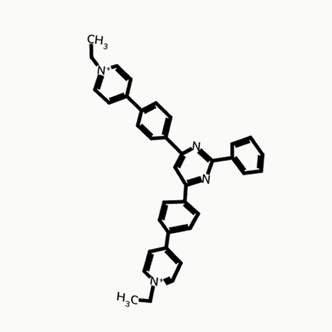 CC[n+]1ccc(-c2ccc(-c3cc(-c4ccc(-c5cc[n+](CC)cc5)cc4)nc(-c4ccccc4)n3)cc2)cc1